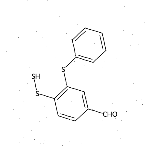 O=Cc1ccc(SS)c(Sc2ccccc2)c1